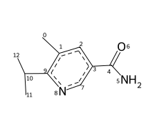 Cc1cc(C(N)=O)cnc1C(C)C